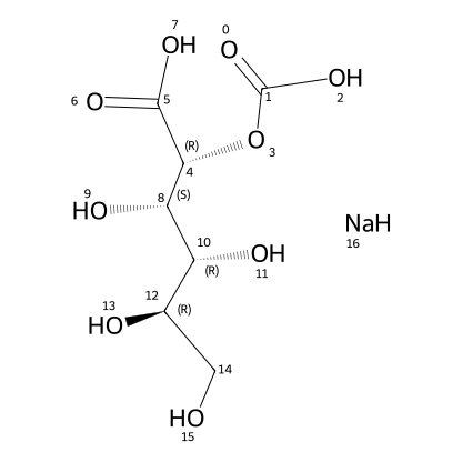 O=C(O)O[C@@H](C(=O)O)[C@@H](O)[C@H](O)[C@H](O)CO.[NaH]